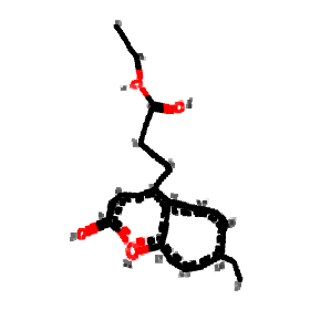 CCOC(=O)CCc1cc(=O)oc2cc(C)ccc12